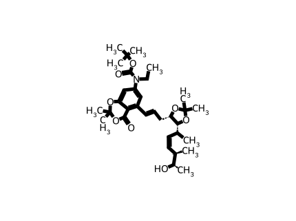 CCN(C(=O)OC(C)(C)C)c1cc(/C=C/C[C@@H]2OC(C)(C)O[C@@H]2C(C)/C=C\[C@@H](C)[C@H](C)O)c2c(c1)OC(C)(C)OC2=O